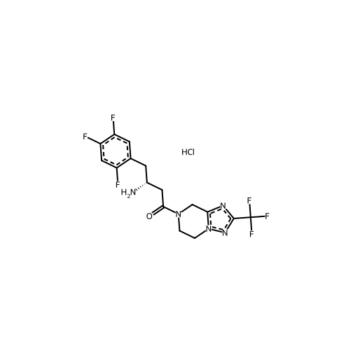 Cl.N[C@@H](CC(=O)N1CCn2nc(C(F)(F)F)nc2C1)Cc1cc(F)c(F)cc1F